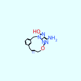 Nc1nc2nc3c1nc(O)n3CCc1cccc(c1)C/C=C/CCO2